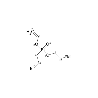 C=COP(=O)(CCBr)OCCBr